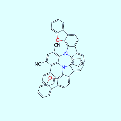 N#Cc1cc(C#N)c(-n2c3ccccc3c3ccc4c5ccccc5oc4c32)c(-n2c3ccccc3c3ccc4c5ccccc5oc4c32)c1-c1ccccc1